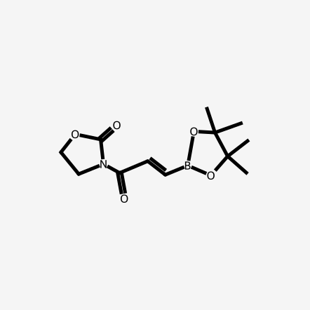 CC1(C)OB(C=CC(=O)N2CCOC2=O)OC1(C)C